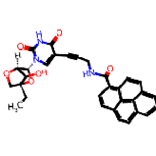 CC[C@@]12CO[C@H](C1O)[C@H](n1cc(C#CCNC(=O)c3ccc4ccc5cccc6ccc3c4c56)c(=O)[nH]c1=O)O2